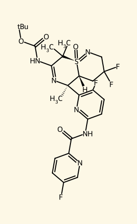 CC(C)(C)OC(=O)NC1=N[C@](C)(c2nc(NC(=O)c3ccc(F)cn3)ccc2F)[C@H]2CC(F)(F)CN=[S@]2(=O)C1(C)C